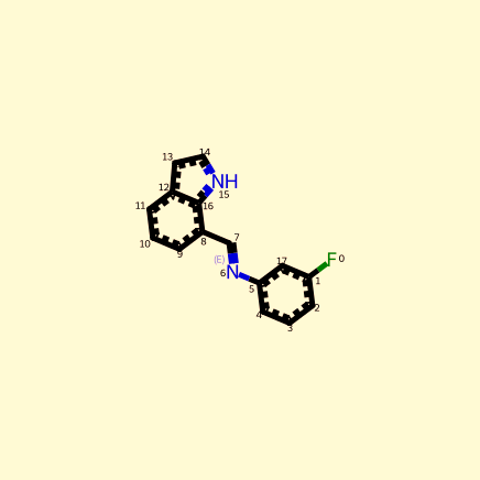 Fc1cccc(/N=C/c2cccc3cc[nH]c23)c1